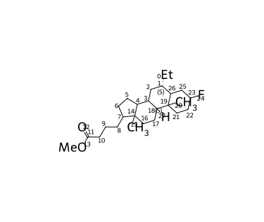 CC[C@H]1CC2C3CCC(CCCC(=O)OC)C3(C)CC[C@@H]2C2(C)CCC(F)CC12